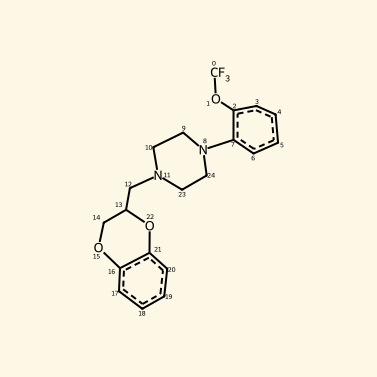 FC(F)(F)Oc1ccccc1N1CCN(CC2COc3ccccc3O2)CC1